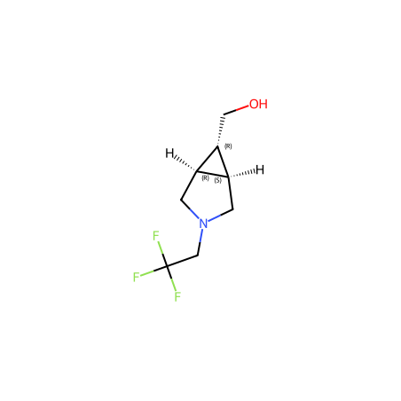 OC[C@@H]1[C@H]2CN(CC(F)(F)F)C[C@@H]12